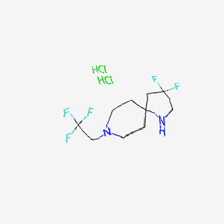 Cl.Cl.FC(F)(F)CN1CCC2(CC1)CC(F)(F)CN2